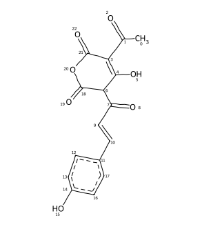 CC(=O)C1=C(O)C(C(=O)C=Cc2ccc(O)cc2)C(=O)OC1=O